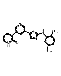 Cc1ccc(N)cc1Nc1ncc(-c2cncc(-c3ccc[nH]c3=O)c2)o1